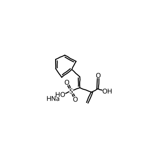 C=C(C(=O)O)C(=Cc1ccccc1)S(=O)(=O)O.[NaH]